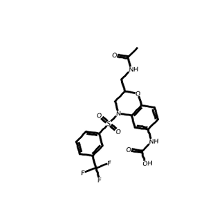 CC(=O)NCC1CN(S(=O)(=O)c2cccc(C(F)(F)F)c2)c2cc(NC(=O)O)ccc2O1